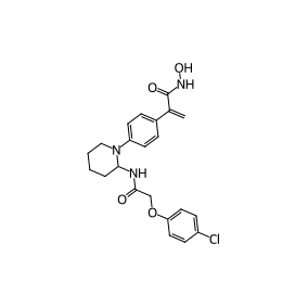 C=C(C(=O)NO)c1ccc(N2CCCCC2NC(=O)COc2ccc(Cl)cc2)cc1